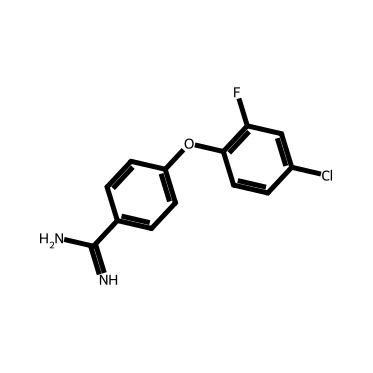 N=C(N)c1ccc(Oc2ccc(Cl)cc2F)cc1